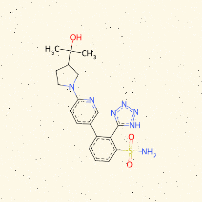 CC(C)(O)C1CCN(c2ccc(-c3cccc(S(N)(=O)=O)c3-c3nnn[nH]3)cn2)C1